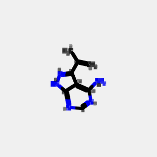 C=C(C)c1n[nH]c2ncnc(N)c12